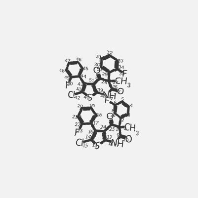 CC1(c2cccc(F)c2)C(=O)Nc2sc(Cl)c(-c3ccccc3F)c2C1=O.CC1(c2ccccc2F)C(=O)Nc2sc(Cl)c(-c3ccccc3F)c2C1=O